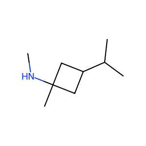 CNC1(C)CC(C(C)C)C1